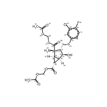 CC(=O)OCOC(=O)[C@H]1[C@@H]2[C@H](O)[C@@H](CSc3ccc(F)c(Cl)c3)[C@@](N)(C(=O)OCOC(C)=O)[C@H]12